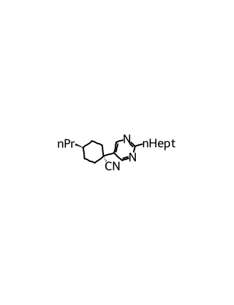 CCCCCCCc1ncc([C@]2(C#N)CC[C@H](CCC)CC2)cn1